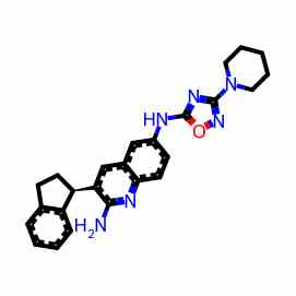 Nc1nc2ccc(Nc3nc(N4CCCCC4)no3)cc2cc1[C@@H]1CCc2ccccc21